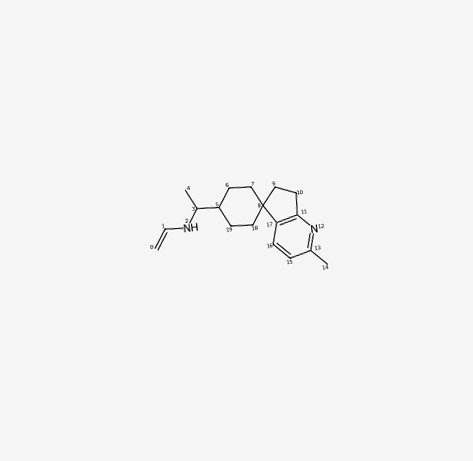 C=CNC(C)C1CCC2(CCc3nc(C)ccc32)CC1